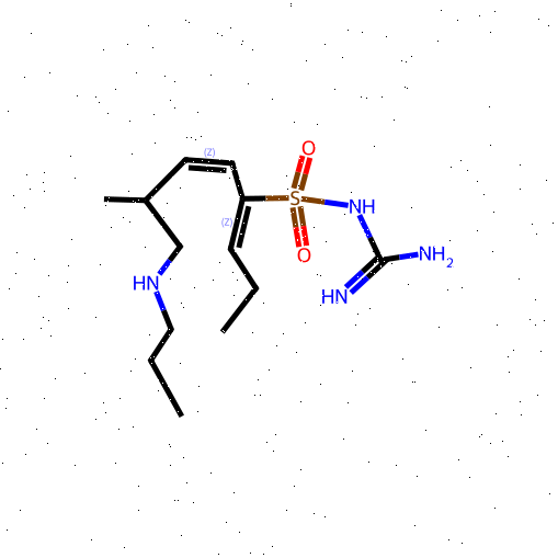 CC/C=C(/C=C\C(C)CNCCC)S(=O)(=O)NC(=N)N